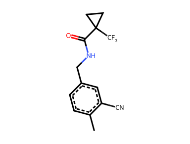 Cc1ccc(CNC(=O)C2(C(F)(F)F)CC2)cc1C#N